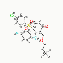 C[Si](C)(C)CCOC[C@H]1C[C@@](c2cc(F)ccc2F)(S(=O)(=O)c2ccc(Cl)cc2)CCC1=O